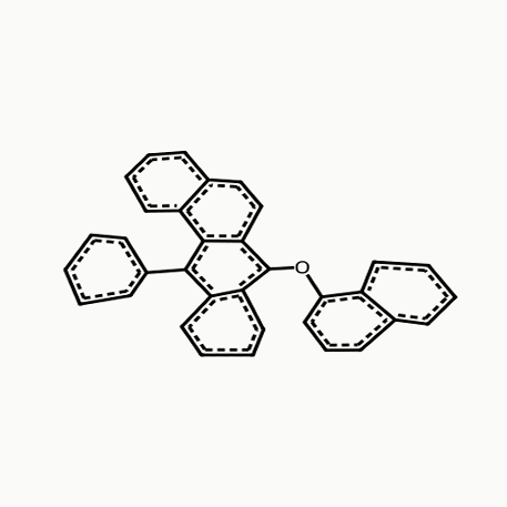 c1ccc(-c2c3ccccc3c(Oc3cccc4ccccc34)c3ccc4ccccc4c23)cc1